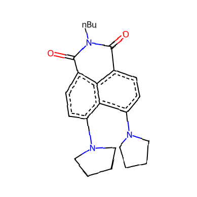 CCCCN1C(=O)c2ccc(N3CCCC3)c3c(N4CCCC4)ccc(c23)C1=O